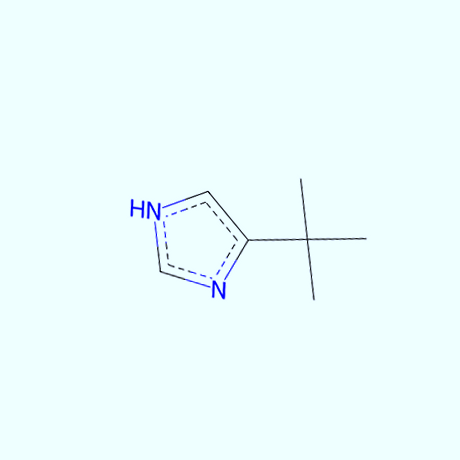 CC(C)(C)c1c[nH]cn1